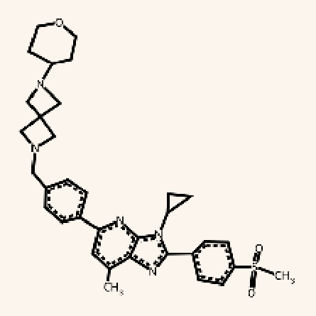 Cc1cc(-c2ccc(CN3CC4(C3)CN(C3CCOCC3)C4)cc2)nc2c1nc(-c1ccc(S(C)(=O)=O)cc1)n2C1CC1